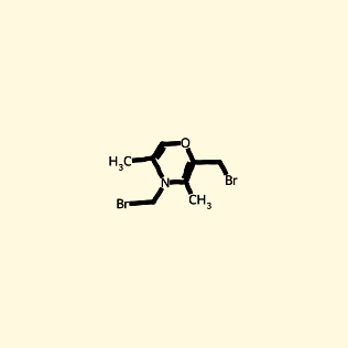 CC1=COC(CBr)=C(C)N1CBr